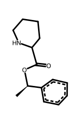 C[C@@H](OC(=O)C1CCCCN1)c1ccccc1